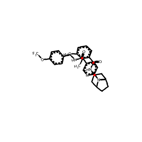 COc1cccc(C(=O)NC2CC3CCC(C2)N3c2ccc(C(=O)NCc3ccc(OC(F)(F)F)cc3)cn2)c1C